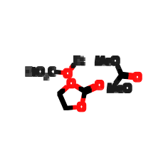 CCOC(=O)OCC.COC(=O)OC.O=C1OCCO1